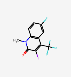 Cn1c(=O)c(I)c(C(F)(F)F)c2cc(F)ccc21